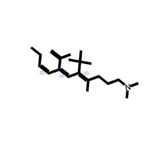 C=C(C)C(/C=C\CC)=C\C(=C(/C)CCCN(C)C)C(C)(C)C